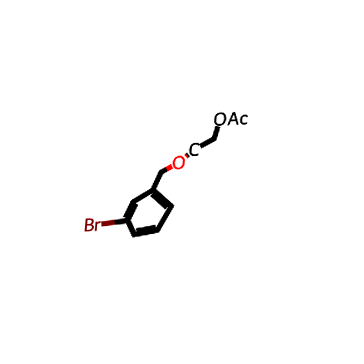 CC(=O)OCCOCc1cccc(Br)c1